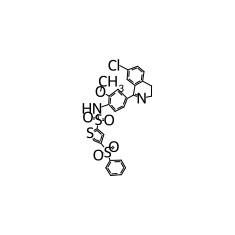 COc1cc(C2=NCCc3ccc(Cl)cc32)ccc1NS(=O)(=O)c1cc(S(=O)(=O)c2ccccc2)cs1